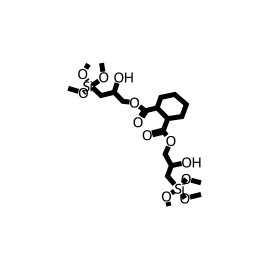 CO[Si](CC(O)COC(=O)C1CCCCC1C(=O)OCC(O)C[Si](OC)(OC)OC)(OC)OC